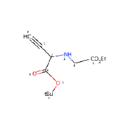 C#CC(NCC(=O)OCC)C(=O)OC(C)(C)C